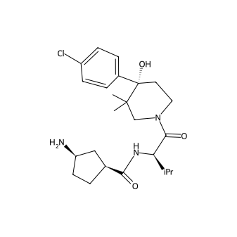 CC(C)[C@@H](NC(=O)[C@H]1CC[C@@H](N)C1)C(=O)N1CC[C@](O)(c2ccc(Cl)cc2)C(C)(C)C1